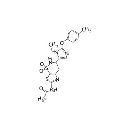 CCn1c(C2Cc3nc(NC(C)=O)sc3S(=O)(=O)N2)cnc1Oc1ccc(C)cc1